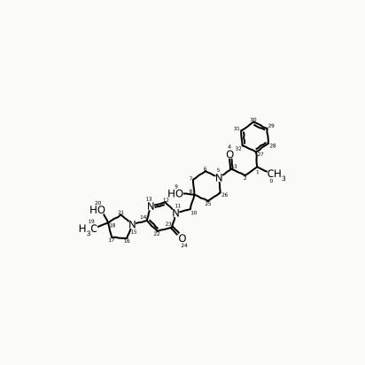 CC(CC(=O)N1CCC(O)(Cn2cnc(N3CCC(C)(O)C3)cc2=O)CC1)c1ccccc1